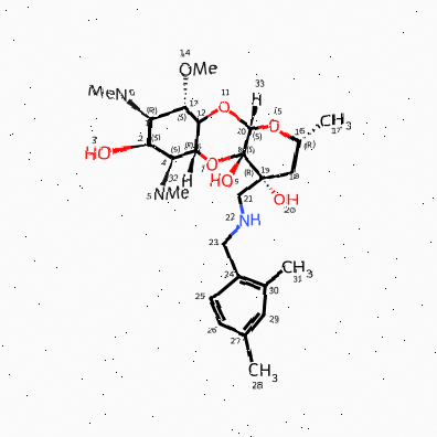 CN[C@@H]1[C@H](O)[C@H](NC)[C@H]2O[C@]3(O)[C@H](OC2[C@H]1OC)O[C@H](C)C[C@@]3(O)CNCc1ccc(C)cc1C